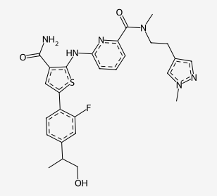 CC(CO)c1ccc(-c2cc(C(N)=O)c(Nc3cccc(C(=O)N(C)CCc4cnn(C)c4)n3)s2)c(F)c1